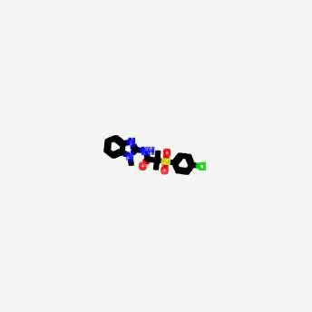 Cn1c(NC(=O)C(C)(C)S(=O)(=O)c2ccc(Cl)cc2)nc2ccccc21